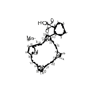 O=S(=O)(O)c1ccccc1-c1cc2cc3nc(cc4ccc(cc5nc(cc1[nH]2)C=C5)[nH]4)C=C3.[Mn]